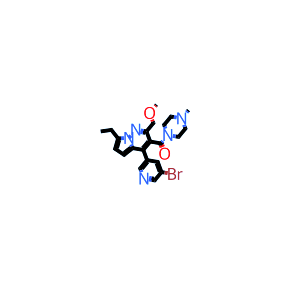 CCc1ccc2c(-c3cncc(Br)c3)c(C(=O)N3CCN(C)CC3)c(COC)nn12